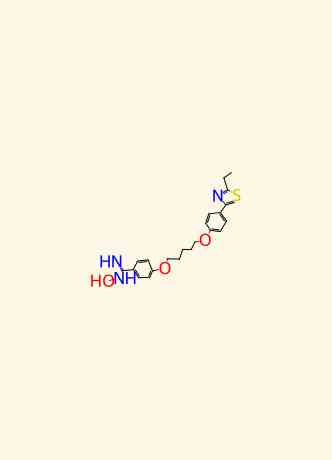 CCc1nc(-c2ccc(OCCCCCOc3ccc(C(=N)NO)cc3)cc2)cs1